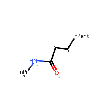 CCCCCCCC(=O)NCCC